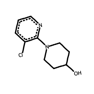 O[C]1CCN(c2ncccc2Cl)CC1